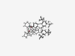 FC(F)(F)c1cc(P(CC2CCCC2(c2ccccc2P(C2CCCCC2)C2CCCCC2)C2CCCC(C3CCCC3)C2)c2cc(C(F)(F)F)cc(C(F)(F)F)c2)cc(C(F)(F)F)c1